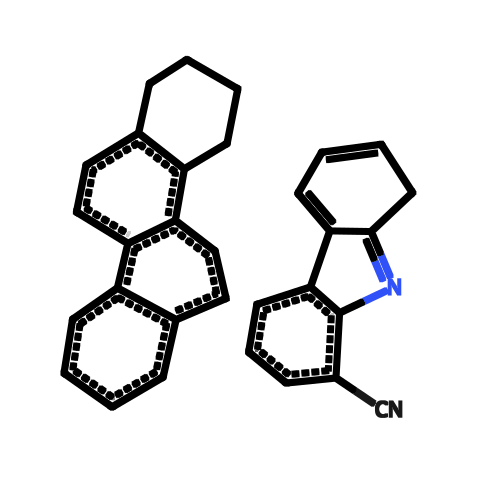 N#Cc1cccc2c1N=C1CC=CC=C12.c1ccc2c(c1)ccc1c3c(ccc12)CCCC3